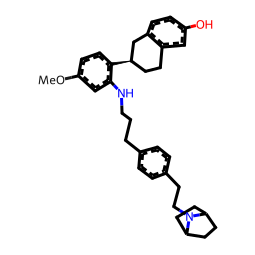 COc1ccc([C@@H]2CCc3cc(O)ccc3C2)c(NCCCc2ccc(CCN3C4CCC3CC4)cc2)c1